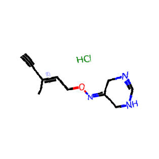 C#C/C(C)=C/CON=C1CN=CNC1.Cl